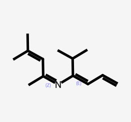 C=C/C=C(/N=C(/C)C=C(C)C)C(C)C